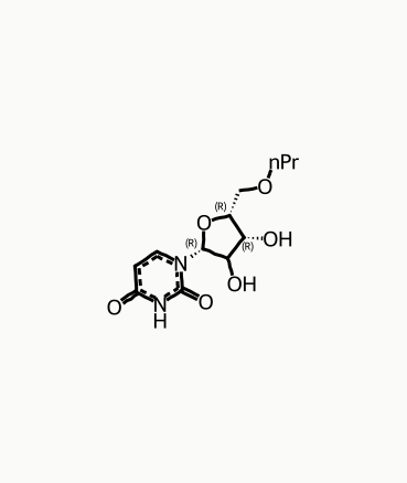 CCCOC[C@H]1O[C@@H](n2ccc(=O)[nH]c2=O)C(O)[C@H]1O